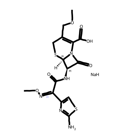 COCC1=C(C(=O)O)N2C(=O)[C@@H](NC(=O)/C(=N\OC)c3csc(N)n3)[C@H]2SC1.[NaH]